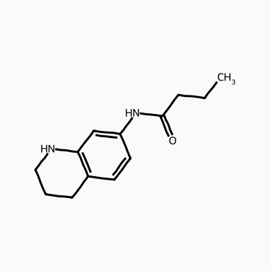 CCCC(=O)Nc1ccc2c(c1)NCCC2